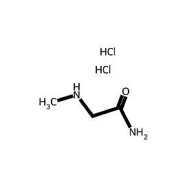 CNCC(N)=O.Cl.Cl